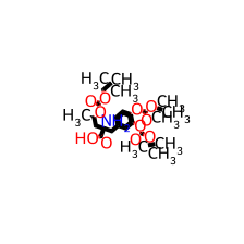 C[C@@H](CC(N)(Cc1ccc(OC(=O)OC(C)(C)C)c(OC(=O)OC(C)(C)C)c1)C(=O)O)OC(=O)OCC(C)(C)C